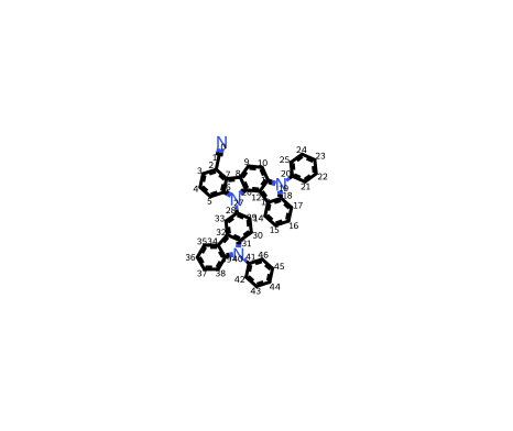 N#Cc1cccc2c1c1ccc3c(c4ccccc4n3-c3ccccc3)c1n2-c1ccc2c(c1)c1ccccc1n2-c1ccccc1